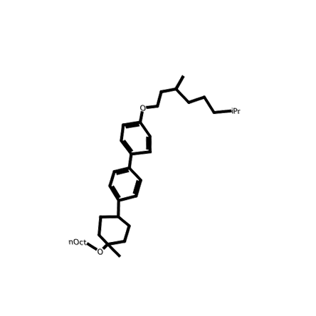 CCCCCCCCOC1(C)CCC(c2ccc(-c3ccc(OCCC(C)CCCC(C)C)cc3)cc2)CC1